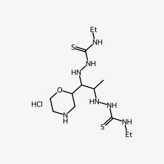 CCNC(=S)NNC(C)C(NNC(=S)NCC)C1CNCCO1.Cl